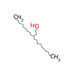 CCCCCCCCCCC(CCCO)CCCCCCCCCC